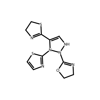 [C]1=C(C2=NCCS2)N(c2nccs2)N(C2=NCCO2)N1